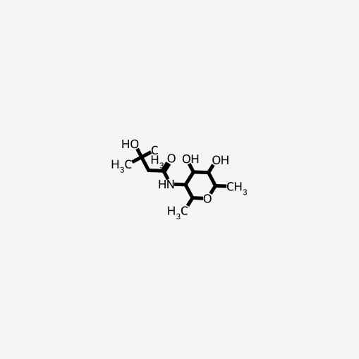 CC1OC(C)C(NC(=O)CC(C)(C)O)C(O)C1O